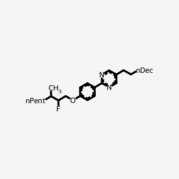 CCCCCCCCCCCCc1cnc(-c2ccc(OCC(F)C(C)CCCCC)cc2)nc1